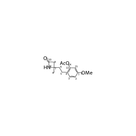 COc1ccc(CCC2(C)CC(=O)N2)c(OC(C)=O)c1